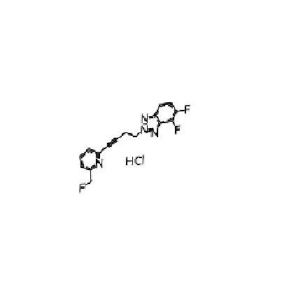 Cl.FCc1cccc(C#CCCn2nc3ccc(F)c(F)c3n2)n1